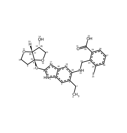 CCc1cc2[nH]c(O[C@@]34CCO[C@@H]3[C@H](O)CO4)nc2nc1NCc1c(F)cccc1C(=O)O